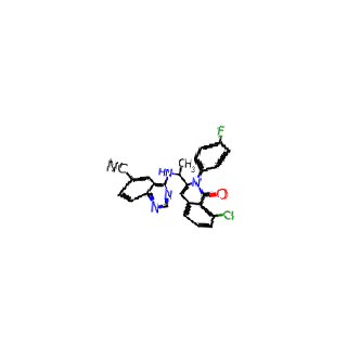 C[C@H](Nc1ncnc2ccc(C#N)cc12)c1cc2cccc(Cl)c2c(=O)n1-c1ccc(F)cc1